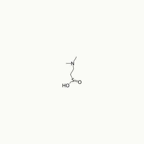 CN(C)CCS(=O)O